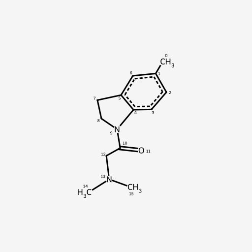 Cc1ccc2c(c1)CCN2C(=O)CN(C)C